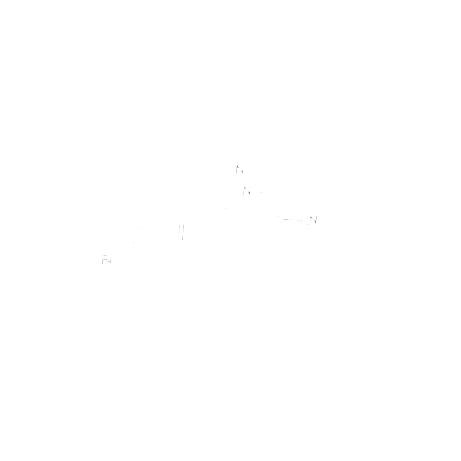 Cc1cc(Br)ccc1-c1cnn(CCC#N)c1